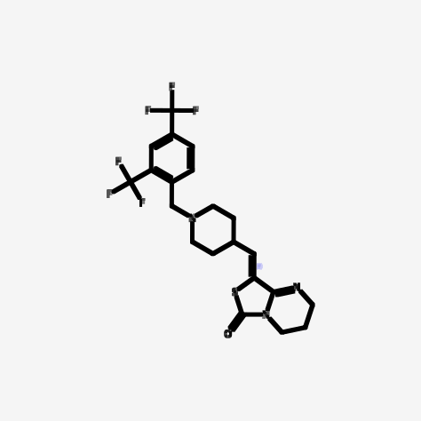 O=c1s/c(=C\C2CCN(Cc3ccc(C(F)(F)F)cc3C(F)(F)F)CC2)c2n1CCCN=2